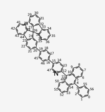 c1ccc(-c2c3ccccc3c(-c3ccc(-c4ccc(-c5ccc6c(c5)C5(c7ccccc7-c7ccccc75)c5ccccc5-6)cc4)cn3)c3ccccc23)cc1